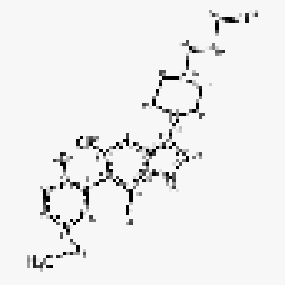 COc1ccc(Br)c(-c2c(Cl)cc3c(N4CCN(C=CC=O)CC4)snc3c2F)c1